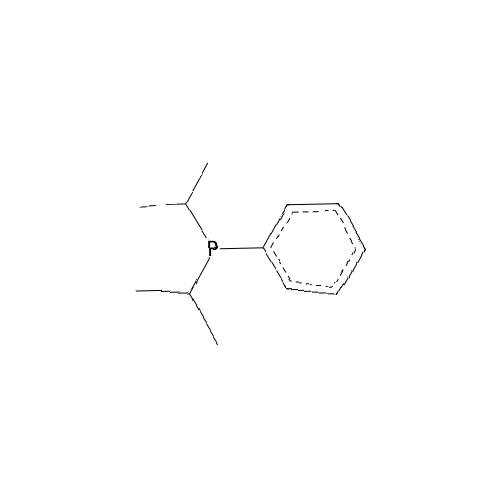 CC(C)P(c1ccccc1)C(C)C